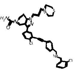 NC(=O)N1CCc2c(c(-c3ccc(Cl)c(C#Cc4ccc(CNCc5ccccc5Cl)cc4)c3)nn2CCCN2CCSCC2)C1